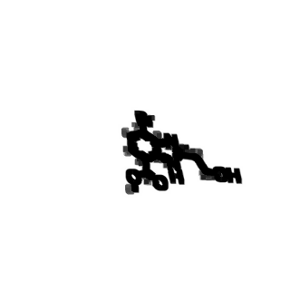 COC(=O)c1ccc(Br)c2nc(CCO)[nH]c12